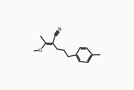 CO/C(C)=C(/C#N)CCCc1ccc(C)cc1